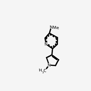 CNc1ccc(C2=CCN(C)C2)nc1